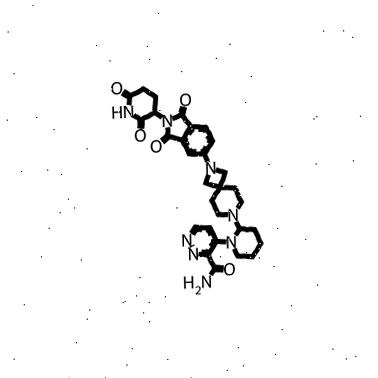 NC(=O)c1nnccc1N1CCCCC1N1CCC2(CC1)CN(c1ccc3c(c1)C(=O)N(C1CCC(=O)NC1=O)C3=O)C2